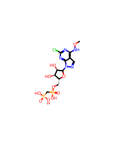 CONc1nc(Cl)nc2c1cnn2C1O[C@H](COP(=O)(O)CP(=O)(O)O)[C@@H](O)[C@H]1O